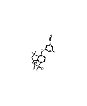 CC1(C)CC2(O)c3c(ccc(Oc4cc(F)cc(C#N)c4)c31)S(=O)(=O)C2(F)F